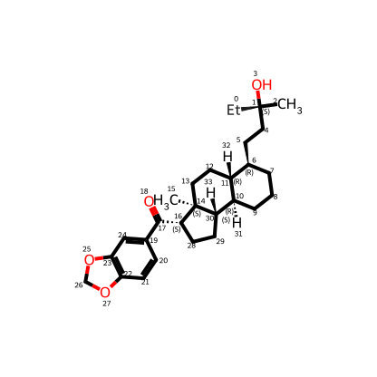 CC[C@](C)(O)CC[C@H]1CCC[C@@H]2[C@@H]1CC[C@]1(C)[C@@H](C(=O)c3ccc4c(c3)OCO4)CC[C@@H]21